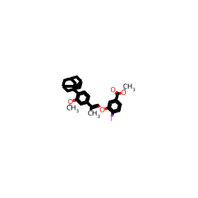 COC(=O)c1ccc(I)c(OC=C(C)c2ccc(C34CC5CC(CC(C5)C3)C4)c(OC)c2)c1